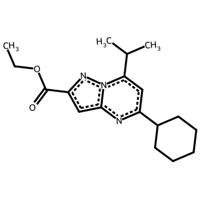 CCOC(=O)c1cc2nc(C3CCCCC3)cc(C(C)C)n2n1